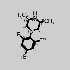 CC1CN(c2c(F)cc(Br)cc2F)C[C@@H](C)N1